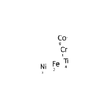 [Co].[Cr].[Fe].[Ni].[Ti]